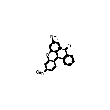 Nc1ccc2c(c1)OC1=CC(N=O)C=CC1=C2c1ccccc1C(=O)O